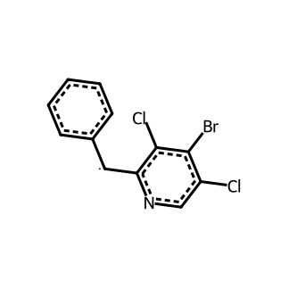 Clc1cnc([CH]c2ccccc2)c(Cl)c1Br